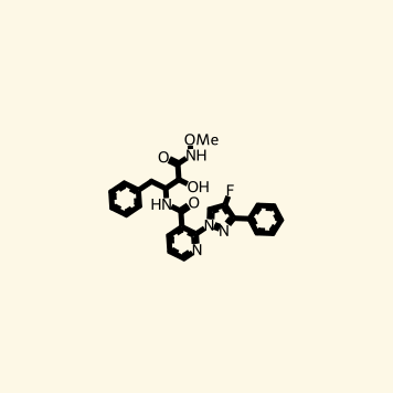 CONC(=O)C(O)C(Cc1ccccc1)NC(=O)c1cccnc1-n1cc(F)c(-c2ccccc2)n1